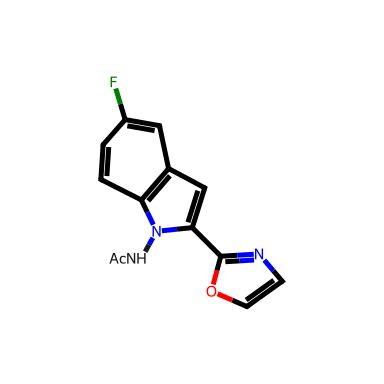 CC(=O)Nn1c(-c2ncco2)cc2cc(F)ccc21